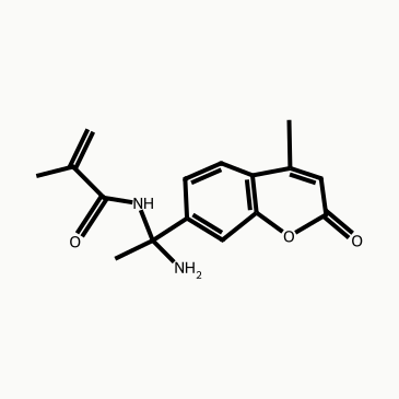 C=C(C)C(=O)NC(C)(N)c1ccc2c(C)cc(=O)oc2c1